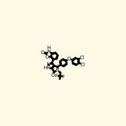 CC(F)(F)CN1C(=O)c2[nH]nc(-c3cccc4[nH]c(=O)oc34)c2C1c1ccc(Oc2ccc(Cl)c(Cl)c2)cc1